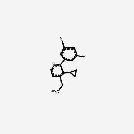 O=C(O)Cc1ccnc(-c2cc(F)cc(F)c2)c1C1CC1